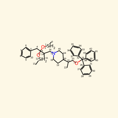 C[SiH2]OC(Cc1ccccc1)(O[SiH2]C)C(C)CN1CCC(C(C)COC(c2ccccc2)(c2ccccc2)c2ccccc2)CC1